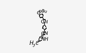 CCCCOc1ccc(-c2cnc(-c3ccc(-c4ncc(B5C=CC(C)=CN5)o4)cc3)o2)cc1